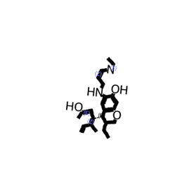 C=C/C(C)=C(\C=C(/C)O)[C@@H]1c2cc(NC/C=C\N=C/C)c(O)cc2OCC1CC